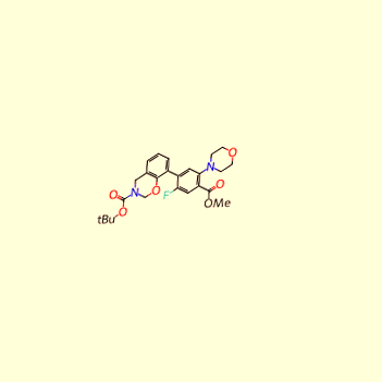 COC(=O)c1cc(F)c(-c2cccc3c2OCN(C(=O)OC(C)(C)C)C3)cc1N1CCOCC1